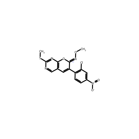 CO/N=c1\oc2nc(SC)ncc2cc1-c1ccc([N+](=O)[O-])cc1Cl